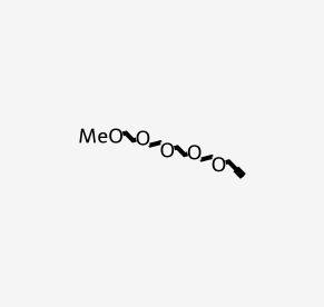 C#CCOCCOCCOCCOCCOC